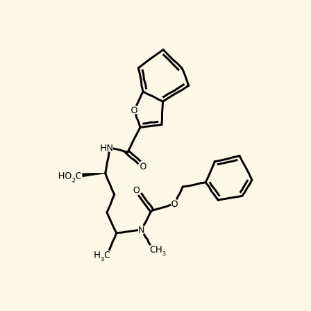 CC(CC[C@H](NC(=O)c1cc2ccccc2o1)C(=O)O)N(C)C(=O)OCc1ccccc1